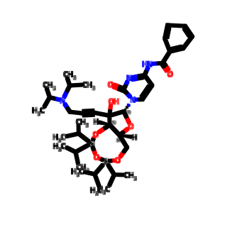 CC(C)N(CC#CC1(O)[C@H]2O[Si](C(C)C)(C(C)C)O[Si](C(C)C)(C(C)C)OC[C@H]2O[C@H]1n1ccc(NC(=O)c2ccccc2)nc1=O)C(C)C